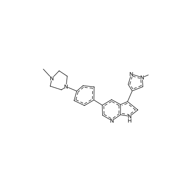 CN1CCN(c2ccc(-c3cnc4[nH]cc(-c5cnn(C)c5)c4c3)cc2)CC1